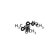 COc1ccc(-c2cccc(OCc3c(C)cccc3-n3nnn(C)c3=O)c2F)cn1